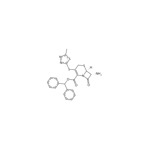 Cc1nnc(SC2=C(C(=O)OC(c3ccccc3)c3ccccc3)N3C(=O)[C@@H](N)[C@@H]3SC2)s1